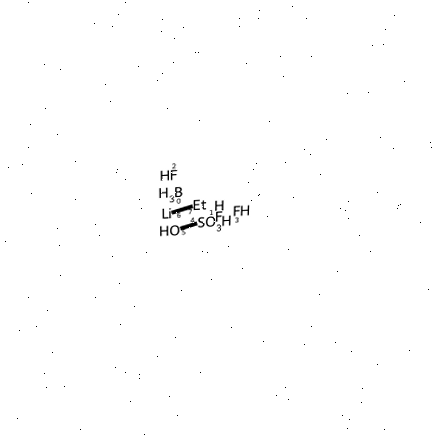 B.F.F.F.O=S(=O)(O)O.[Li][CH2]C